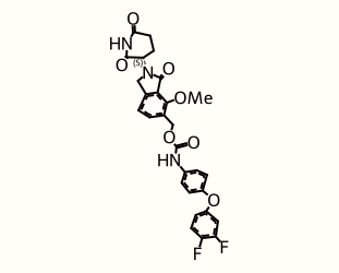 COc1c(COC(=O)Nc2ccc(Oc3ccc(F)c(F)c3)cc2)ccc2c1C(=O)N([C@H]1CCC(=O)NC1=O)C2